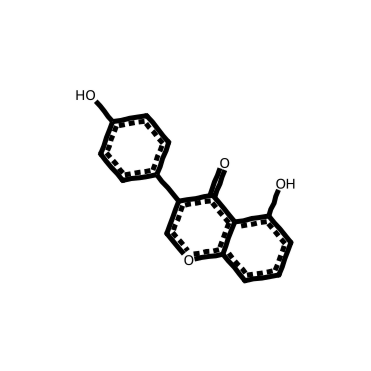 O=c1c(-c2ccc(O)cc2)coc2cccc(O)c12